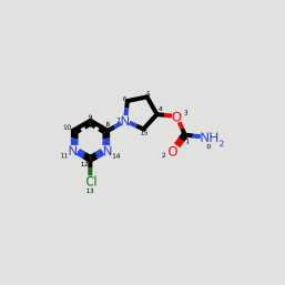 NC(=O)OC1CCN(c2ccnc(Cl)n2)C1